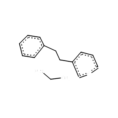 CCN.c1ccc(CCc2ccccc2)cc1